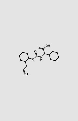 C=CCC1CCCCC1OC(=O)NC(C(=O)O)C1CCCCC1